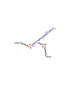 CCCCCCCCCCCCCCCCS(=O)(=O)NCCCN(CCCNCCCCNCCCN)CCCNS(=O)(=O)CCCCCCCCCCCCCCCC